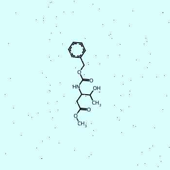 COC(=O)CC(NC(=O)OCc1ccccc1)C(C)O